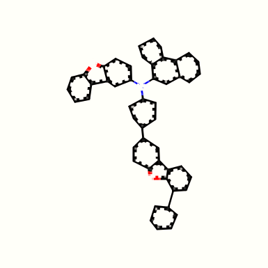 c1ccc(-c2cccc3c2oc2ccc(-c4ccc(N(c5ccc6oc7ccccc7c6c5)c5cc6ccccc6c6ccccc56)cc4)cc23)cc1